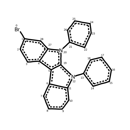 Brc1ccc2c3c4ccccc4n(-c4ccccc4)c3n(-c3ccccc3)c2c1